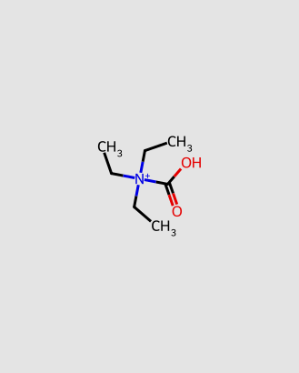 CC[N+](CC)(CC)C(=O)O